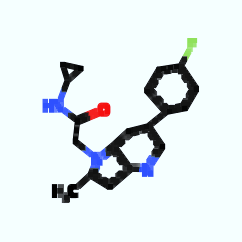 Cc1cc2ncc(-c3ccc(F)cc3)cc2n1CC(=O)NC1CC1